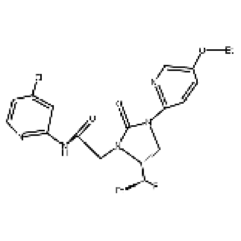 CCOc1ccc(N2C[C@H]([C@@H](F)CC)N(CC(=O)Nc3cc(Cl)ccn3)C2=O)nc1